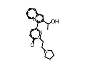 CC(O)c1cc2ccccn2c1-c1ccc(=O)n(CCN2CCCC2)n1